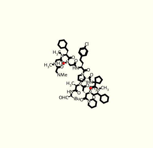 CC[C@H](C)[C@@H](C=O)NC(=O)[C@@H](C)N(C)C(=O)C[C@@H](C(=O)N1CCCCC1)N(C)C(=O)[C@H](C1CCCCC1)N(C)C(=O)C1(NC(=O)[C@@H]2CCCN2C(=O)[C@H](CCc2ccc(Cl)cc2)NC(=O)CN(C)C(=O)[C@H](CC2CCCCC2)N(C)C(=O)CN(C)C(=O)CNC)CCCC1